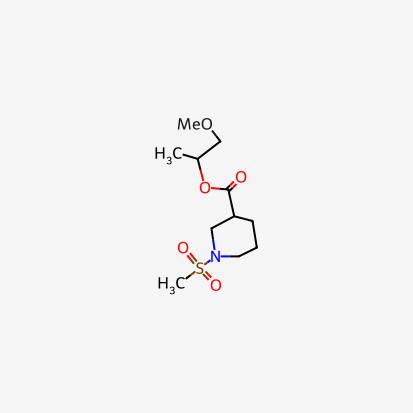 COCC(C)OC(=O)C1CCCN(S(C)(=O)=O)C1